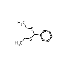 CCSC(SCC)c1ccccc1